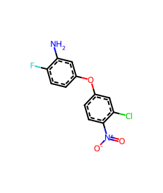 Nc1cc(Oc2ccc([N+](=O)[O-])c(Cl)c2)ccc1F